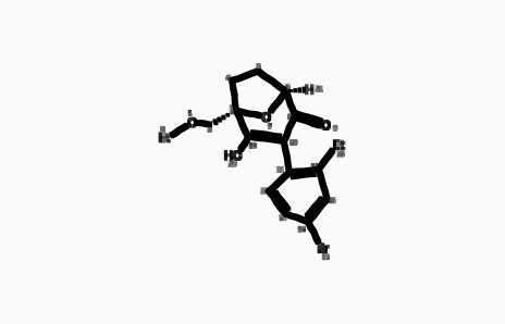 CCOC[C@]12CC[C@H](O1)C(=O)C(c1ccc(Br)cc1CC)=C2O